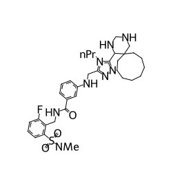 CCCn1c(CNc2cccc(C(=O)NCc3c(F)cccc3S(=O)(=O)NC)c2)nnc1C1NCNCC12CCCCCCCC2